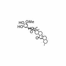 COC1=CC(/C=C/C(=O)O[C@@H]2CC[C@@]3(C)C(CC[C@]4(C)C3C(=O)C=C3C5[C@@H](C)[C@H](C)CC[C@]5(C)CC[C@]34C)[C@@]2(C)C(=O)O)=CC(O)C1O